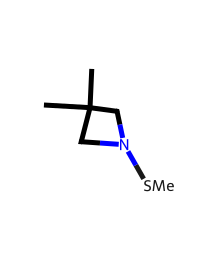 CSN1CC(C)(C)C1